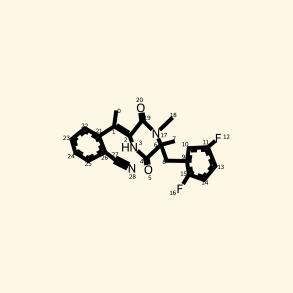 CC(=C1NC(=O)C(C)(Cc2cc(F)ccc2F)N(C)C1=O)c1ccccc1C#N